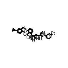 CCN1CCC[C@@H](n2cc(-c3cc4c(-c5cccc(-n6ncc7cc(C8CC8)ccc7c6=O)c5CO)ncnc4[nH]3)cn2)C1